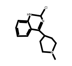 CN1CCC(C2=NC(Cl)Nc3ccccc32)CC1